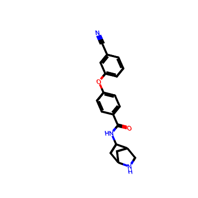 N#Cc1cccc(Oc2ccc(C(=O)NC3CC4CC3CN4)cc2)c1